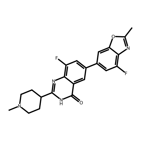 Cc1nc2c(F)cc(-c3cc(F)c4nc(C5CCN(C)CC5)[nH]c(=O)c4c3)cc2o1